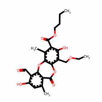 CCCCOC(=O)c1c(C)c2c(c(COCC)c1O)OC(=O)c1c(C)cc(O)c(C=O)c1O2